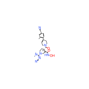 Cc1cc(C#N)ccc1C1=CCN(C(=O)[C@H]2CCN(/C(=N/C#N)N(C)C)C[C@@H]2C(=O)NO)CC1